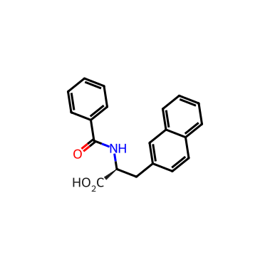 O=C(N[C@@H](Cc1ccc2ccccc2c1)C(=O)O)c1ccccc1